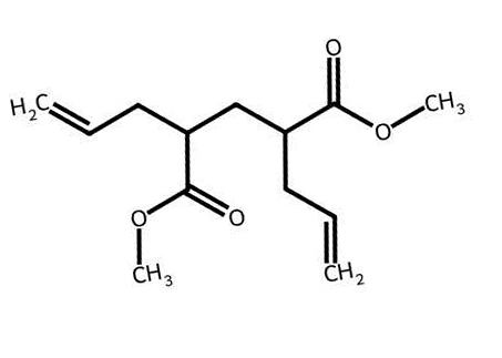 C=CCC(CC(CC=C)C(=O)OC)C(=O)OC